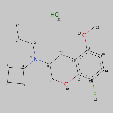 CCCN(C1CCC1)C1COc2c(F)ccc(OC)c2C1.Cl